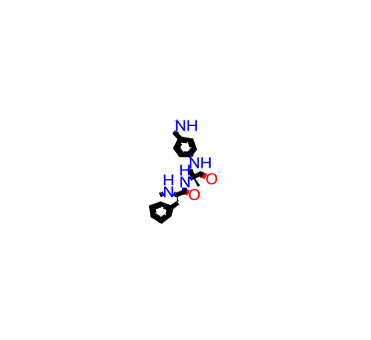 CNCc1ccc(NC[C@](C)(C=O)NC(=O)[C@H](Cc2ccccc2)NC)cc1